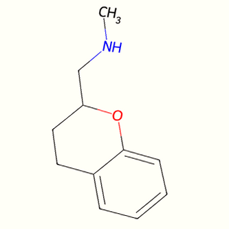 CNCC1CCc2ccccc2O1